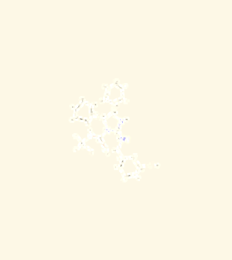 CC(C)(C)OC(=O)N1C(NCc2cccc(F)c2)=N[C@@H](c2ccccc2)[C@H]1c1ccccc1